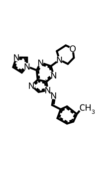 Cc1cccc(C=Nn2cnc3c(-n4ccnc4)nc(N4CCOCC4)nc32)c1